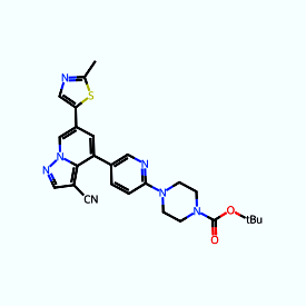 Cc1ncc(-c2cc(-c3ccc(N4CCN(C(=O)OC(C)(C)C)CC4)nc3)c3c(C#N)cnn3c2)s1